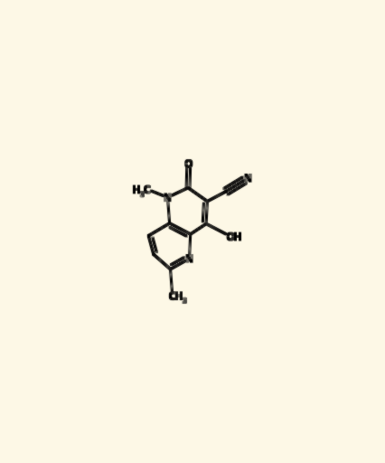 Cc1ccc2c(n1)c(O)c(C#N)c(=O)n2C